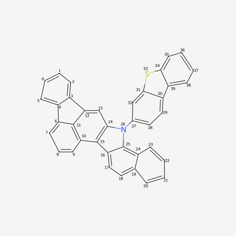 c1ccc2c(c1)-c1cccc3c1c-2cc1c3c2ccc3ccccc3c2n1-c1ccc2c(c1)sc1ccccc12